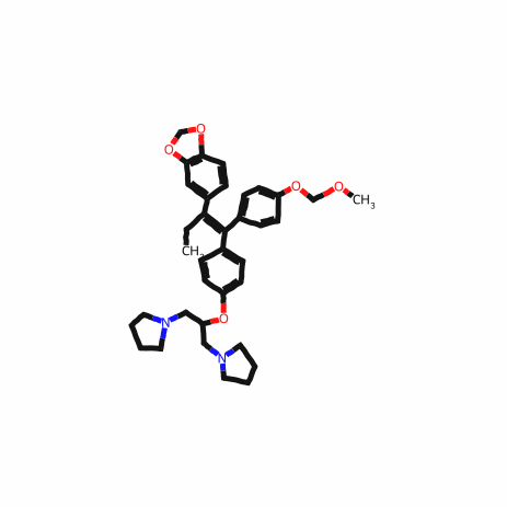 CCC(=C(c1ccc(OCOC)cc1)c1ccc(OC(CN2CCCC2)CN2CCCC2)cc1)c1ccc2c(c1)OCO2